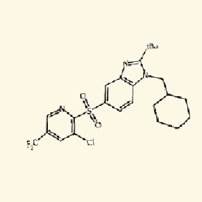 CC(C)(C)c1nc2cc(S(=O)(=O)c3ncc(C(F)(F)F)cc3Cl)ccc2n1CC1CCCCC1